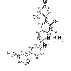 CCn1c(=O)c(-c2ccc(Br)cc2Cl)cc2cnc(Nc3ccc(C4CN(C)CCO4)cc3)nc21